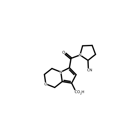 N#CC1CCCN1C(=O)c1cc(C(=O)O)c2n1CCOC2